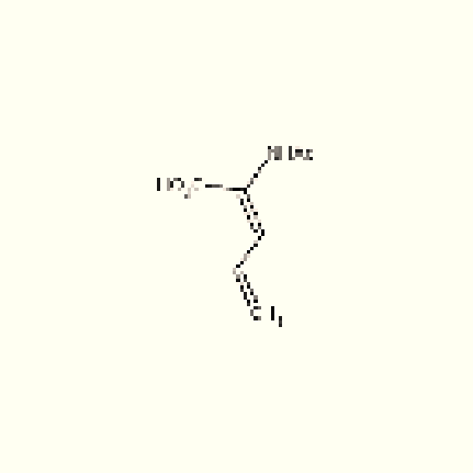 C=CC=C(NC(C)=O)C(=O)O